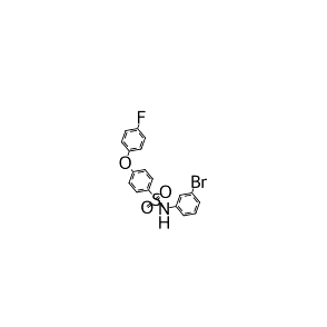 O=S(=O)(Nc1cccc(Br)c1)c1ccc(Oc2ccc(F)cc2)cc1